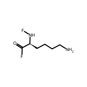 NCCCC[C@H](NF)C(=O)F